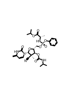 C=C1C=CN([C@@H]2O[C@H](COP(=O)(N[C@@H](C)C(=O)OC(C)C)Oc3ccccc3)[C@@H](OC(=O)NC(C)C)[C@@]2(C)C#N)C(=O)N1